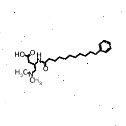 CN(C)CC(CC(=O)O)NC(=O)CCCCCCCCCCc1ccccc1